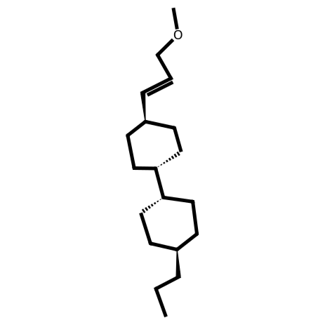 CCC[C@H]1CC[C@H]([C@H]2CC[C@H](C=CCOC)CC2)CC1